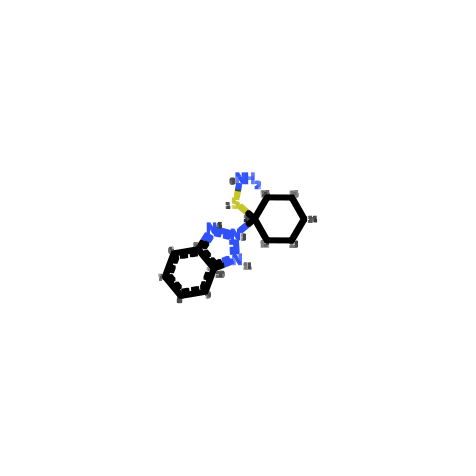 NSC1(n2nc3ccccc3n2)CCCCC1